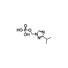 CC(C)c1ncn(COP(=O)(O)O)n1